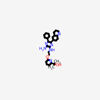 CC(C)(O)c1cccc(OCCNc2nc(-c3ccc4ncccc4c3)c(-c3ccccc3)nc2N)n1